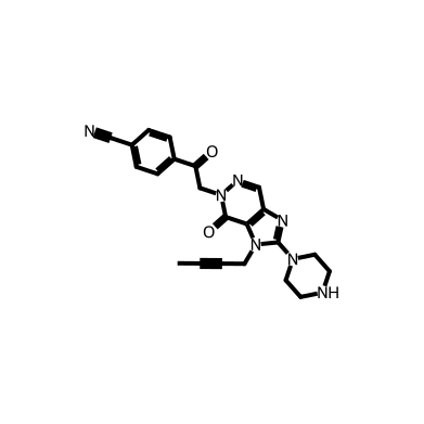 CC#CCn1c(N2CCNCC2)nc2cnn(CC(=O)c3ccc(C#N)cc3)c(=O)c21